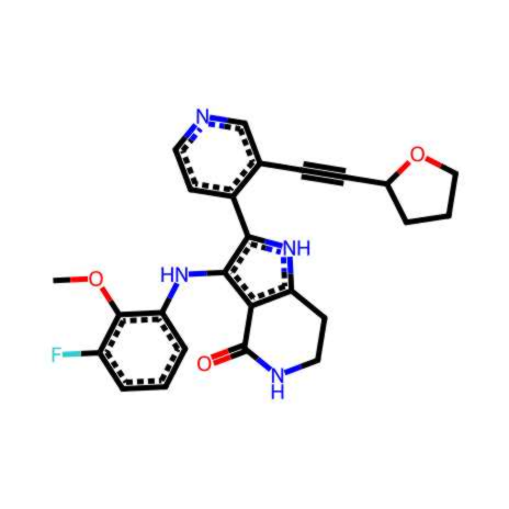 COc1c(F)cccc1Nc1c(-c2ccncc2C#CC2CCCO2)[nH]c2c1C(=O)NCC2